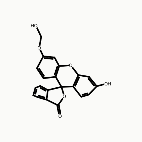 O=C1OC2(c3ccc(O)cc3Oc3cc(OCO)ccc32)c2ccccc21